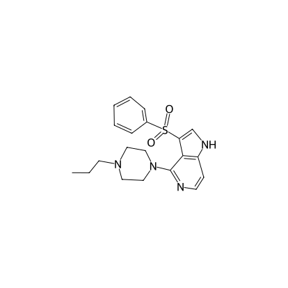 CCCN1CCN(c2nccc3[nH]cc(S(=O)(=O)c4ccccc4)c23)CC1